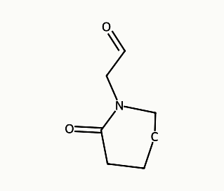 O=CCN1CCCCC1=O